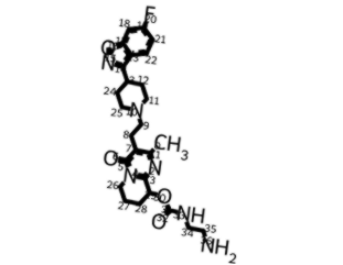 Cc1nc2n(c(=O)c1CCN1CCC(c3noc4cc(F)ccc34)CC1)CCCC2OC(=O)NCCN